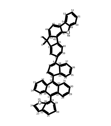 CC1(C)c2cc(-c3ccc(-c4c5ccccc5c(-c5cccc6ccoc56)c5ccccc45)c4ccccc34)ccc2-c2c1ccc1c2oc2ccccc21